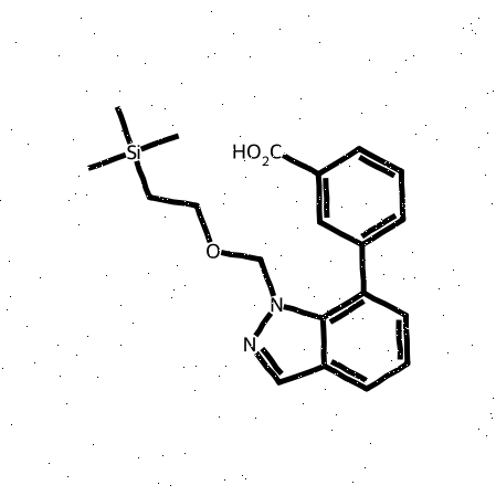 C[Si](C)(C)CCOCn1ncc2cccc(-c3cccc(C(=O)O)c3)c21